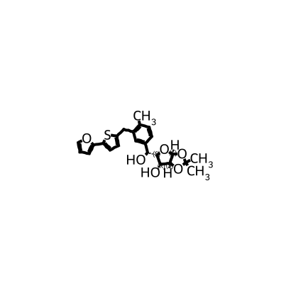 Cc1ccc(C(O)[C@@H]2O[C@H]3OC(C)(C)O[C@H]3[C@@H]2O)cc1Cc1ccc(-c2ccco2)s1